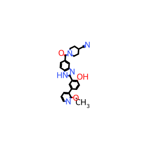 COc1ncccc1-c1ccc(O)c(-c2nc3cc(C(=O)N4CCC(C#N)CC4)ccc3[nH]2)c1